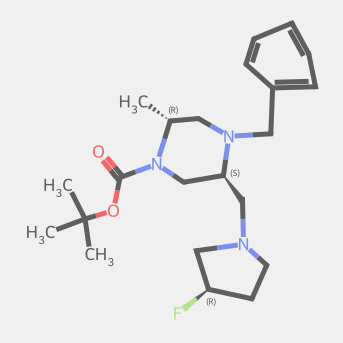 C[C@@H]1CN(Cc2ccccc2)[C@@H](CN2CC[C@@H](F)C2)CN1C(=O)OC(C)(C)C